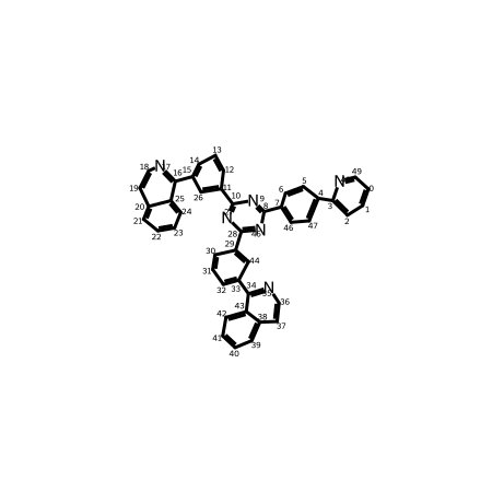 c1ccc(-c2ccc(-c3nc(-c4cccc(-c5nccc6ccccc56)c4)nc(-c4cccc(-c5nccc6ccccc56)c4)n3)cc2)nc1